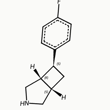 Fc1ccc([C@H]2C[C@@H]3CNC[C@@H]32)cc1